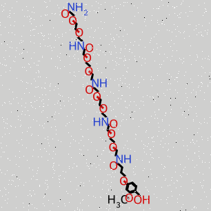 COc1cc(OCCCC(=O)NCCOCCOCC(=O)NCCOCCOCC(=O)NCCOCCOCC(=O)NCCOCCOCC(N)=O)ccc1CO